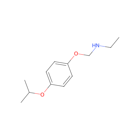 CCNCOc1ccc(OC(C)C)cc1